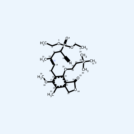 CCOP(=O)(OCC)C(C#N)C/C(C)=C/Cc1c(OC)c(C)c2c(c1OCC[Si](C)(C)C)C(=O)OC2